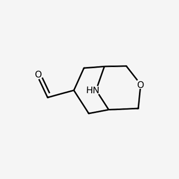 O=CC1CC2COCC(C1)N2